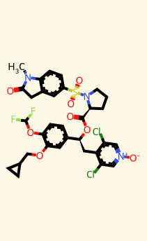 CN1C(=O)Cc2cc(S(=O)(=O)N3CCC[C@H]3C(=O)O[C@@H](Cc3c(Cl)c[n+]([O-])cc3Cl)c3ccc(OC(F)F)c(OCC4CC4)c3)ccc21